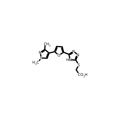 Cc1nn(C)cc1-c1ccc(-c2nnc(SCC(=O)O)[nH]2)o1